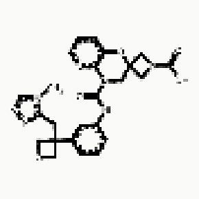 Cn1cnnc1CC1(c2cccc(NC(=O)N3CC4(CN(C(=O)O)C4)Oc4cccnc43)c2)COC1